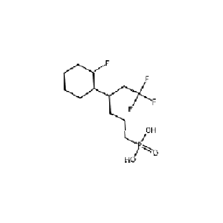 O=P(O)(O)CCCC(CC(F)(F)F)C1CCCCC1F